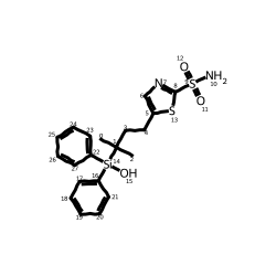 CC(C)(CCc1cnc(S(N)(=O)=O)s1)[Si](O)(c1ccccc1)c1ccccc1